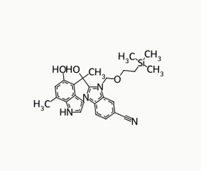 Cc1cc(O)c(C(C)(O)c2nc3ccc(C#N)cc3n2COCC[Si](C)(C)C)c2cc[nH]c12